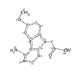 COc1ccc2c(c1)c1c(N)ncnc1n2CC(=O)O